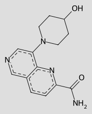 NC(=O)c1ccc2cncc(N3CCC(O)CC3)c2n1